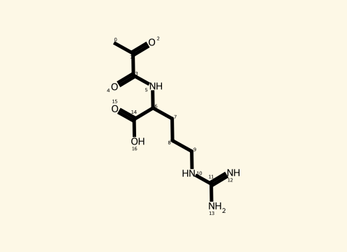 CC(=O)C(=O)NC(CCCNC(=N)N)C(=O)O